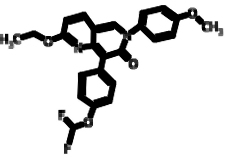 CCOc1ccc2cn(-c3ccc(OC)cc3)c(=O)c(-c3ccc(OC(F)F)cc3)c2n1